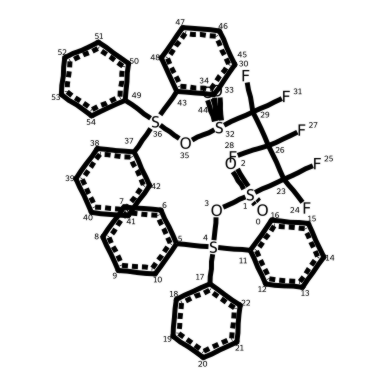 O=S(=O)(OS(c1ccccc1)(c1ccccc1)c1ccccc1)C(F)(F)C(F)(F)C(F)(F)S(=O)(=O)OS(c1ccccc1)(c1ccccc1)c1ccccc1